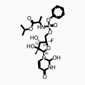 CC(C)OC(=O)C(C)NP(=O)(OC[C@@]1(F)O[C@@H](N2C=CC(=O)NC2O)[C@](C)(O)[C@@H]1O)Oc1ccccc1